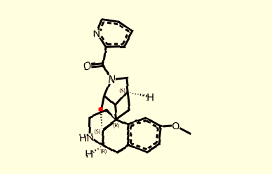 COc1ccc2c(c1)[C@]13CCN[C@H](C2)[C@]12CCC1C3[C@@H](CN1C(=O)c1ccccn1)C2